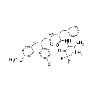 COc1ccc(OC(CC(=O)NC(Cc2ccccc2)C(=O)NC(C(=O)C(F)(F)F)C(C)C)c2ccc(Cl)cc2)cc1